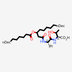 CCCCCCCCCCCCCCCC(=O)OC(CCCCCCCCCCCCCCC)CC(=O)N[C@H](C(=O)N[C@H](C(=O)O)C(C)O)C(C)C